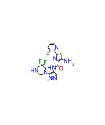 Cn1ncc(NC(=O)c2nc(-c3ncccc3F)sc2N)c1N1CCNCC(F)(F)C1